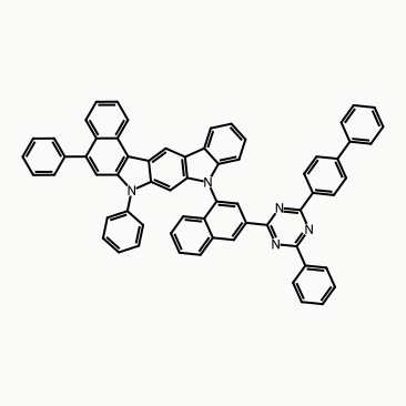 c1ccc(-c2ccc(-c3nc(-c4ccccc4)nc(-c4cc(-n5c6ccccc6c6cc7c8c9ccccc9c(-c9ccccc9)cc8n(-c8ccccc8)c7cc65)c5ccccc5c4)n3)cc2)cc1